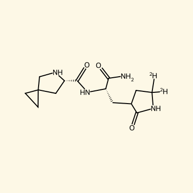 [2H]C1([2H])CC(C[C@H](NC(=O)[C@@H]2CC3(CC3)CN2)C(N)=O)C(=O)N1